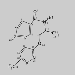 CCN(C(=O)c1ccc(F)cc1)C(C)COc1ccc(C(F)(F)F)cn1